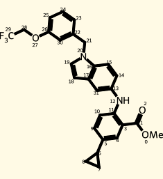 COC(=O)c1cc(C2CC2)ccc1Nc1ccc2c(ccn2Cc2cccc(OCC(F)(F)F)c2)c1